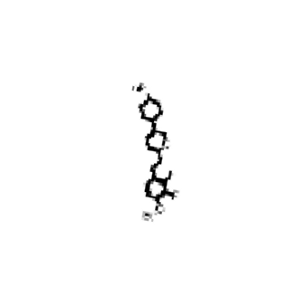 CCCC1CCC(C2=CCC(CCc3ccc(OCC)c(F)c3F)OC2)CC1